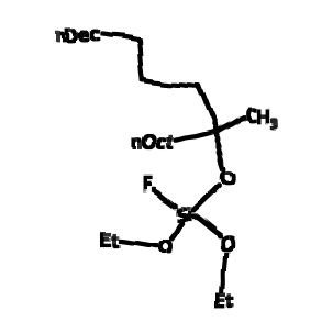 CCCCCCCCCCCCCC(C)(CCCCCCCC)O[Si](F)(OCC)OCC